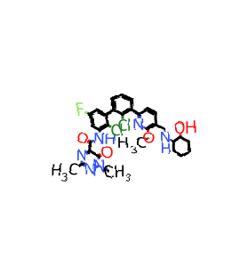 COc1nc(-c2cccc(-c3cc(F)cc(NC(=O)c4nc(C)nn(C)c4=O)c3Cl)c2Cl)ccc1CNC1CCCCC1O